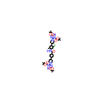 Cc1cc(C2=CCN(C(=NC(=O)OC(C)(C)C)NC(=O)OC(C)(C)C)CC2)c(F)cc1NC(=O)c1ccc(C2=CCN(C(=NC(=O)OC(C)(C)C)NC(=O)OC(C)(C)C)CC2)cc1